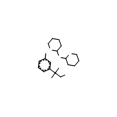 C1CCC(OC2CCCCO2)OC1.CC(C)(CO)c1cccc(Br)c1